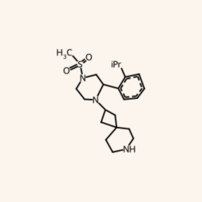 CC(C)c1ccccc1C1CN(S(C)(=O)=O)CCN1C1CC2(CCNCC2)C1